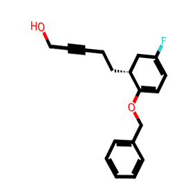 OCC#CCC[C@@H]1CC(F)=CC=C1OCc1ccccc1